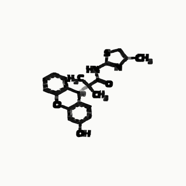 CC1CSC(NC(=O)C(C)(C)[C@H]2c3ccccc3Oc3cc(O)ccc32)=N1